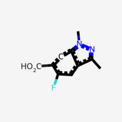 Cc1nn(C)c2cc(C(=O)O)c(F)cc12